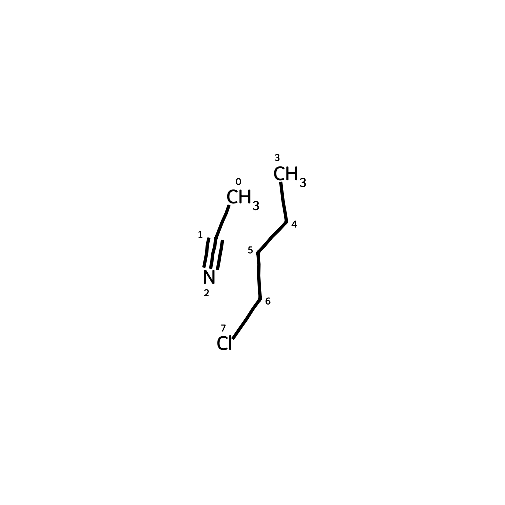 CC#N.CCCCCl